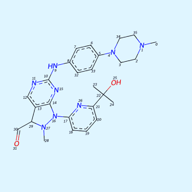 CN1CCN(c2ccc(Nc3ncc4c(n3)N(c3cccc(C(C)(C)O)n3)N(C)C4C=O)cc2)CC1